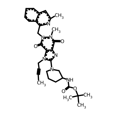 CC#CCn1c(N2CCCC(NC(=O)OC(C)(C)C)C2)nc2c(=O)n(C)n(Cc3nc(C)cc4ccccc34)c(=O)c21